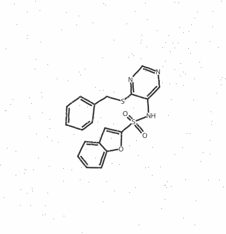 O=S(=O)(Nc1cncnc1SCc1ccccc1)c1cc2ccccc2o1